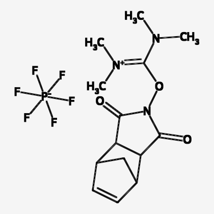 CN(C)C(ON1C(=O)C2C3C=CC(C3)C2C1=O)=[N+](C)C.F[P-](F)(F)(F)(F)F